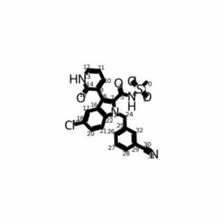 CS(=O)(=O)NC(=O)c1c(-c2ccc[nH]c2=O)c2cc(Cl)ccc2n1Cc1cccc(C#N)c1